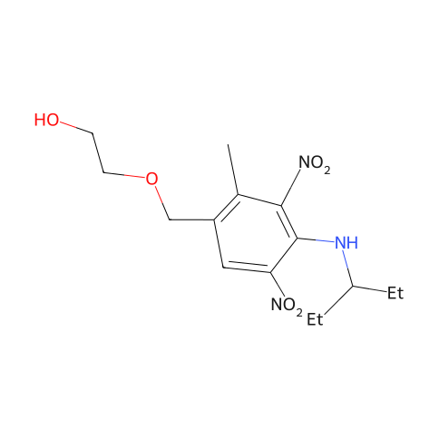 CCC(CC)Nc1c([N+](=O)[O-])cc(COCCO)c(C)c1[N+](=O)[O-]